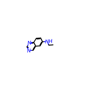 CCNc1ccc2ncncc2c1